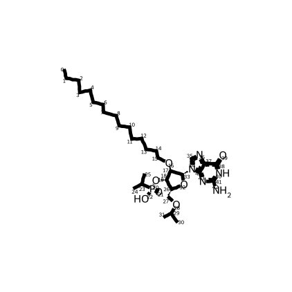 CCCCCCCCCCCCCCCCO[C@H]1[C@@H](OP(=O)(O)C(C)C)[C@@H](COC(C)C)O[C@H]1n1cnc2c(=O)[nH]c(N)nc21